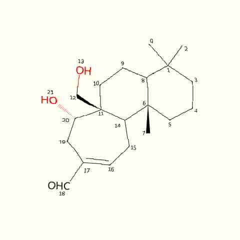 CC1(C)CCC[C@@]2(C)C1CC[C@]1(CO)C2CC=C(C=O)C[C@@H]1O